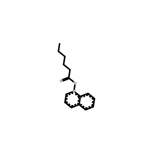 CCCCCC(=O)O[n+]1cccc2ccccc21